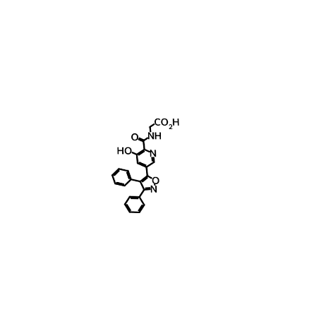 O=C(O)CNC(=O)c1ncc(-c2onc(-c3ccccc3)c2-c2ccccc2)cc1O